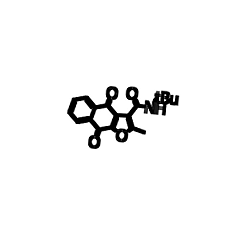 Cc1oc2c(c1C(=O)NC(C)(C)C)C(=O)c1ccccc1C2=O